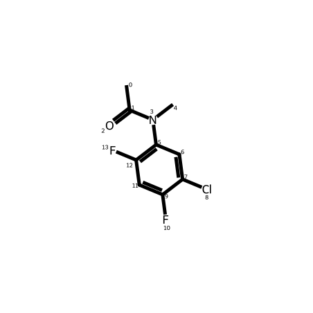 CC(=O)N(C)c1cc(Cl)c(F)cc1F